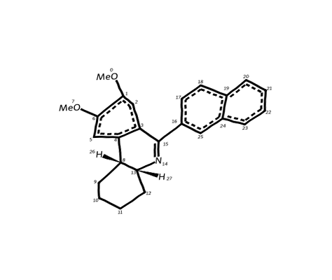 COc1cc2c(cc1OC)[C@H]1CCCC[C@H]1N=C2c1ccc2ccccc2c1